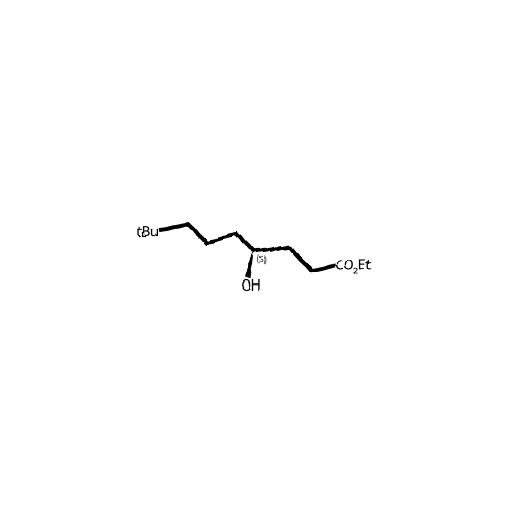 CCOC(=O)CC[C@@H](O)CCCC(C)(C)C